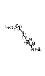 N#CCC(=O)NC(=O)NCCCCCC(=O)O